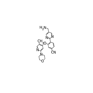 Cc1cnc(N2CCOCC2)cc1Oc1cc(C#N)ccc1-c1ncc(CN)cn1